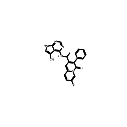 CC(Nc1ncnc2[nH]cc(C#N)c12)c1cc2ccc(F)cn2c(=O)c1-c1ccccc1